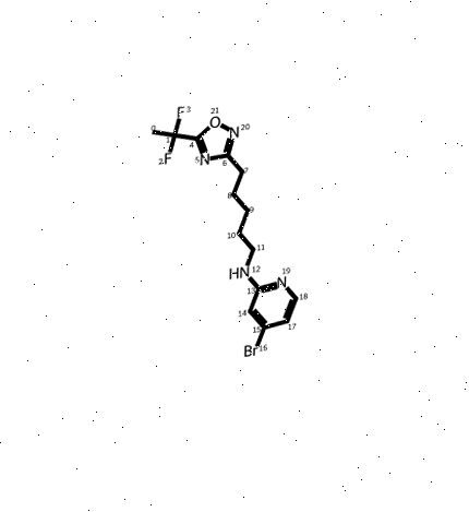 CC(F)(F)c1nc(CCCCCNc2cc(Br)ccn2)no1